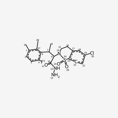 Cc1ccc(F)c(C(C)C(C(=O)NN)N2CCc3cc(Cl)ccc3S2(=O)=O)c1C